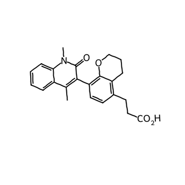 Cc1c(-c2ccc(CCC(=O)O)c3c2OCCC3)c(=O)n(C)c2ccccc12